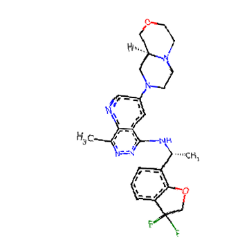 Cc1nnc(N[C@H](C)c2cccc3c2OCC3(F)F)c2cc(N3CCN4CCOC[C@@H]4C3)cnc12